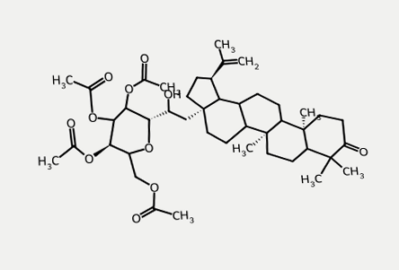 C=C(C)[C@@H]1CC[C@]2(CC(O)[C@@H]3OC(COC(C)=O)[C@@H](OC(C)=O)C(OC(C)=O)C3OC(C)=O)CCC3C(CCC4[C@@]3(C)CCC3C(C)(C)C(=O)CC[C@@]34C)C12